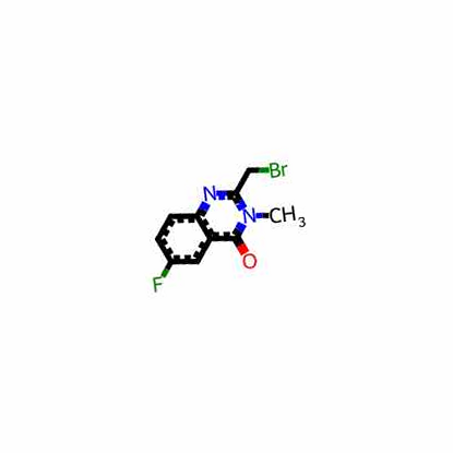 Cn1c(CBr)nc2ccc(F)cc2c1=O